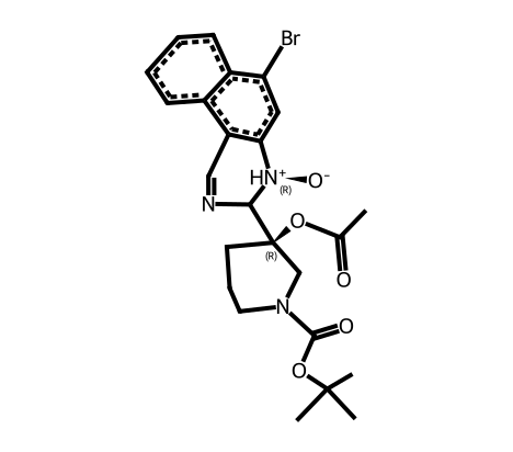 CC(=O)O[C@]1(C2N=Cc3c(cc(Br)c4ccccc34)[N@H+]2[O-])CCCN(C(=O)OC(C)(C)C)C1